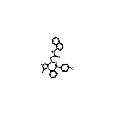 Cc1nnc2n1-c1ccccc1C(c1ccc(Cl)cc1)=NN2CC(=O)Nc1cccc2ccccc12